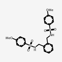 COc1ccc(S(=O)(=O)NCc2ccccc2CNS(=O)(=O)c2ccc(OC)cc2)cc1